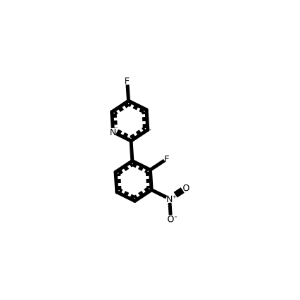 O=[N+]([O-])c1cccc(-c2[c]cc(F)cn2)c1F